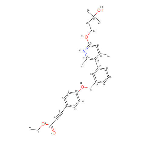 CCOC(=O)C#Cc1ccc(OCc2cccc(-c3c(C)cc(OCCC(C)(C)O)nc3C)c2)cc1